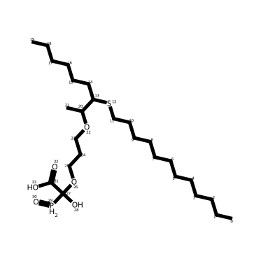 CCCCCCCCCCCCSC(CCCCCC)C(C)OCCCOC(O)([PH2]=O)C(=O)O